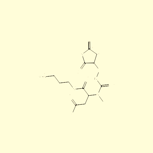 CNCCCNC(=O)C(CC(=O)C(C)(C)C)N(C)C(=O)NSC1CC(=O)NC1=O